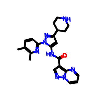 Cc1ccc(-n2nc(C3CCNCC3)cc2NC(=O)c2cnn3cccnc23)nc1C